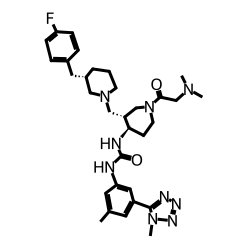 Cc1cc(NC(=O)N[C@@H]2CCN(C(=O)CN(C)C)C[C@H]2CN2CCC[C@@H](Cc3ccc(F)cc3)C2)cc(-c2nnnn2C)c1